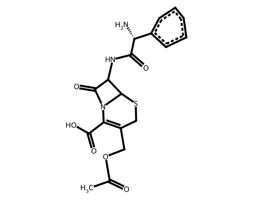 CC(=O)OCC1=C(C(=O)O)N2C(=O)C(NC(=O)[C@H](N)c3ccccc3)C2SC1